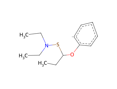 CCC(Oc1[c]cccc1)SN(CC)CC